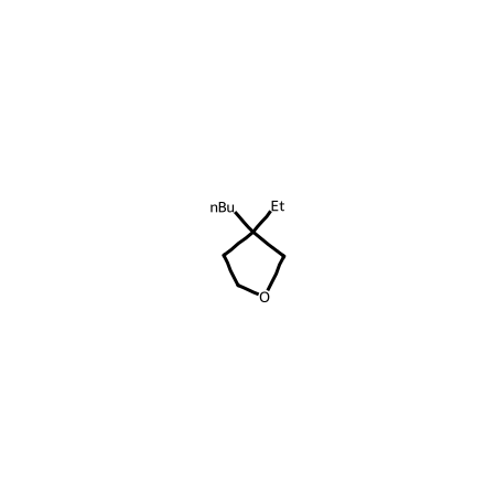 CCCCC1(CC)CCOC1